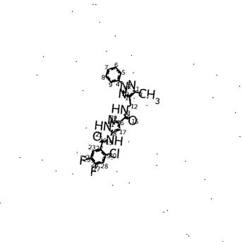 Cc1nn(-c2ccccc2)nc1CNC(=O)c1cc(NC(=O)c2cc(F)c(F)cc2Cl)[nH]n1